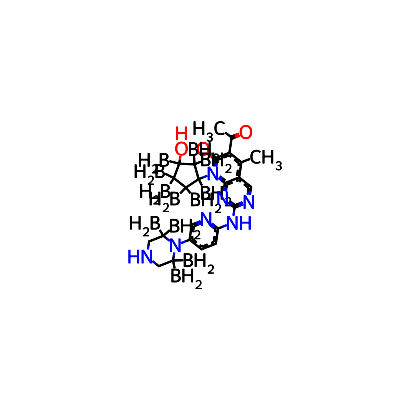 BC1(B)CNCC(B)(B)N1c1ccc(Nc2ncc3c(C)c(C(C)=O)c(=O)n(C4(B)C(B)(B)C(B)(B)C(B)(O)C4(B)B)c3n2)nc1